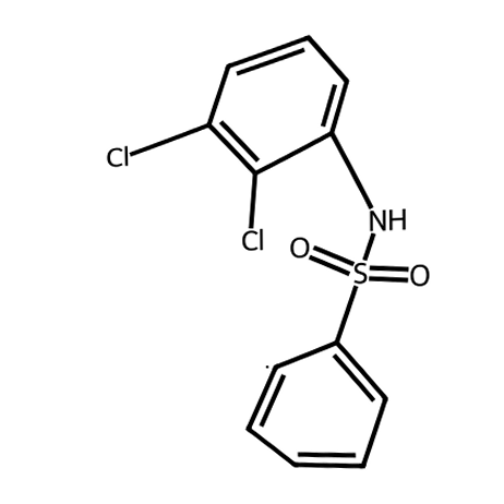 O=S(=O)(Nc1cccc(Cl)c1Cl)c1[c]cccc1